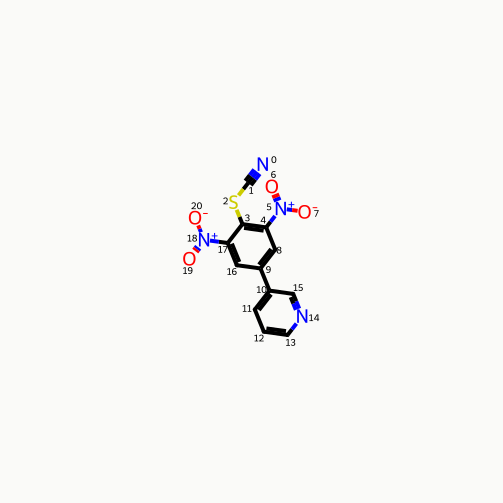 N#CSc1c([N+](=O)[O-])cc(-c2cccnc2)cc1[N+](=O)[O-]